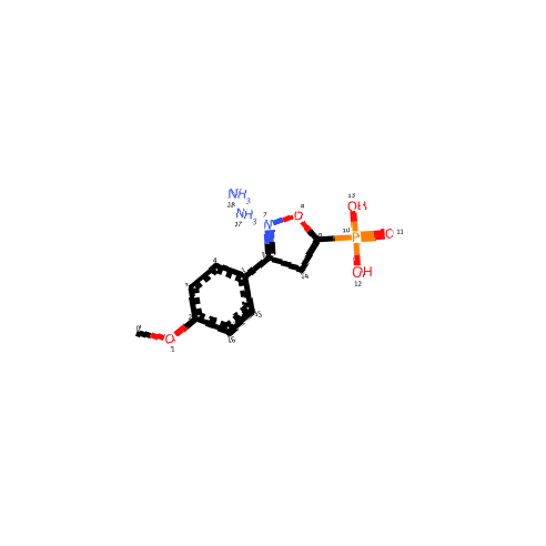 COc1ccc(C2=NOC(P(=O)(O)O)C2)cc1.N.N